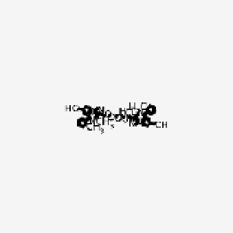 C#Cc1ccc2c(c1)C(c1ccccc1C)=NC(C)c1c(COOCOCOC(=O)c3ncn4c3C(C)N=C(c3ccccc3C)c3cc(C#C)ccc3-4)ncn1-2